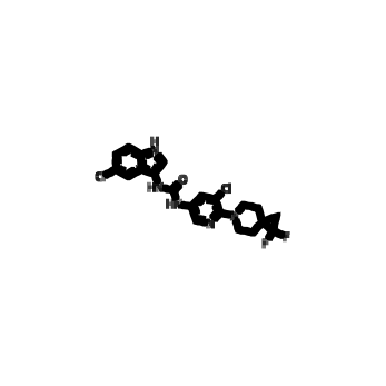 O=C(Nc1cnc(N2CCC3(CC2)CC3(F)F)c(Cl)c1)Nc1c[nH]c2ccc(Cl)cc12